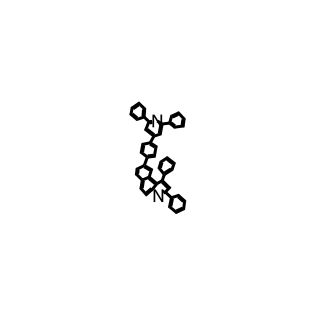 c1ccc(-c2cc(-c3ccc(-c4ccc5ccc6nc(-c7ccccc7)cc(-c7ccccc7)c6c5c4)cc3)cc(-c3ccccc3)n2)cc1